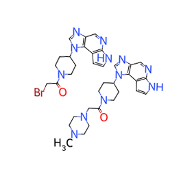 CN1CCN(CC(=O)N2CCC(n3cnc4cnc5[nH]ccc5c43)CC2)CC1.O=C(CBr)N1CCC(n2cnc3cnc4[nH]ccc4c32)CC1